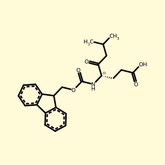 C[C](C)CC(=O)[C@H](CCC(=O)O)NC(=O)OCC1c2ccccc2-c2ccccc21